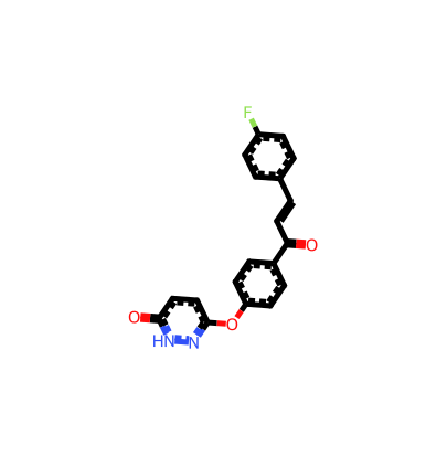 O=C(C=Cc1ccc(F)cc1)c1ccc(Oc2ccc(=O)[nH]n2)cc1